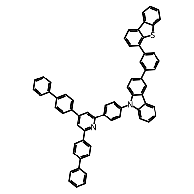 c1ccc(-c2ccc(-c3cc(-c4ccc(-c5ccccc5)cc4)nc(-c4ccc(-n5c6ccccc6c6cc(-c7cccc(-c8cccc9c8sc8ccccc89)c7)ccc65)cc4)c3)cc2)cc1